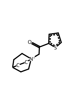 O=C(C[N+]12CCC(CC1)CC2)c1cccs1